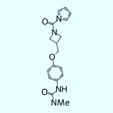 CNC(=O)Nc1ccc(OCC2CN(C(=O)n3cccc3)C2)cc1